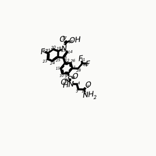 NC(=O)CCNS(=O)(=O)c1ccc(C2=CN(C(=O)O)C3CC(F)=CC=C23)cc1CC(F)F